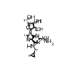 NNc1nc(NCC2CC2)c2ncn([C@@H]3O[C@H](CO)[C@@H](O)[C@H]3O)c2n1